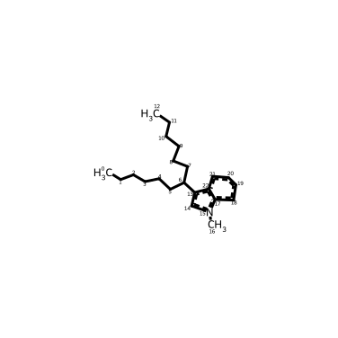 CCCCCCC(CCCCCC)c1cn(C)c2ccccc12